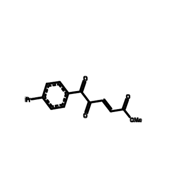 COC(=O)/C=C/C(=O)C(=O)c1ccc(C(C)C)cc1